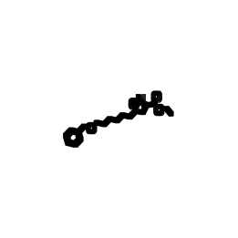 CCOC(=O)C1=NOC(CCCCCCOCc2ccccc2)C1